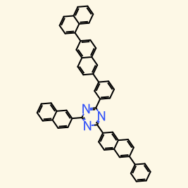 c1ccc(-c2ccc3cc(-c4nc(-c5cccc(-c6ccc7cc(-c8cccc9ccccc89)ccc7c6)c5)nc(-c5ccc6ccccc6c5)n4)ccc3c2)cc1